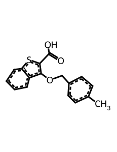 Cc1ccc(COc2c(C(=O)O)sc3ccccc23)cc1